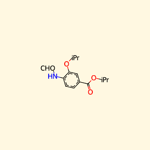 CC(C)OC(=O)c1ccc(NC=O)c(OC(C)C)c1